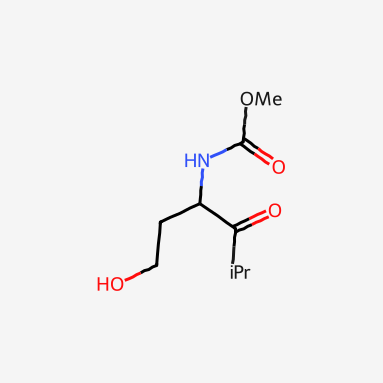 COC(=O)NC(CCO)C(=O)C(C)C